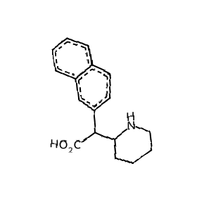 O=C(O)C(c1ccc2ccccc2c1)C1CCCCN1